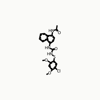 COc1cc(OC)c(SNC(=O)Nc2ccc(NC(C)=O)c3ccccc23)cc1Cl